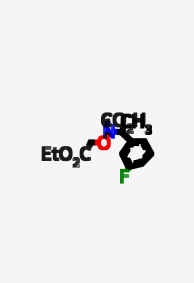 CCOC(=O)CON(C(=O)O)C(C)c1cccc(F)c1